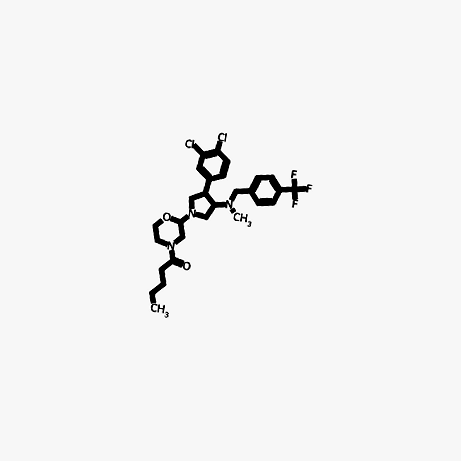 CCCCC(=O)N1CCOC(N2CC(c3ccc(Cl)c(Cl)c3)C(N(C)Cc3ccc(C(F)(F)F)cc3)C2)C1